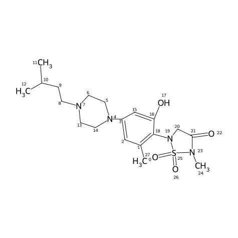 Cc1cc(N2CCN(CCC(C)C)CC2)cc(O)c1N1CC(=O)N(C)S1(=O)=O